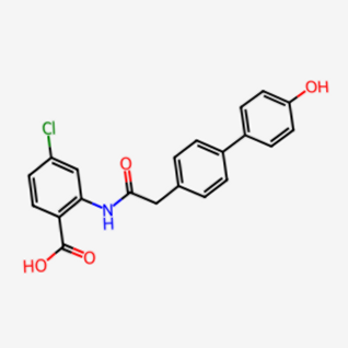 O=C(Cc1ccc(-c2ccc(O)cc2)cc1)Nc1cc(Cl)ccc1C(=O)O